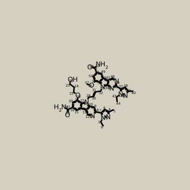 CCn1nc(C)cc1-c1cc2c(cn1)c1cc(C(N)=O)cc(OCCCO)c1n2C/C=C/Cn1c2nc(-c3cc(C)nn3CC)ncc2c2cc(C(N)=O)cc(OC)c21